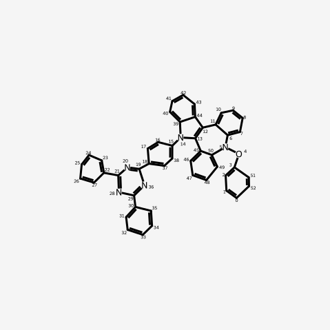 c1ccc(ON2c3ccccc3-c3c(n(-c4ccc(-c5nc(-c6ccccc6)nc(-c6ccccc6)n5)cc4)c4ccccc34)-c3ccccc32)cc1